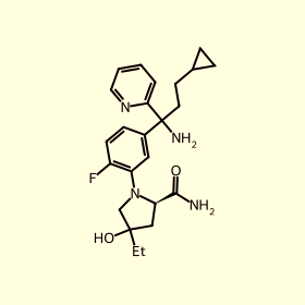 CCC1(O)C[C@H](C(N)=O)N(c2cc(C(N)(CCC3CC3)c3ccccn3)ccc2F)C1